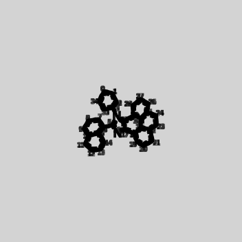 c1ccc(-n2c(-c3cccc4ccccc34)nc3c4cccc5ccc6cccc(c6c54)c32)cc1